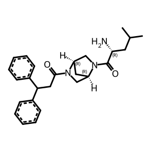 CC(C)C[C@@H](N)C(=O)N1C[C@H]2C[C@@H]1CN2C(=O)CC(c1ccccc1)c1ccccc1